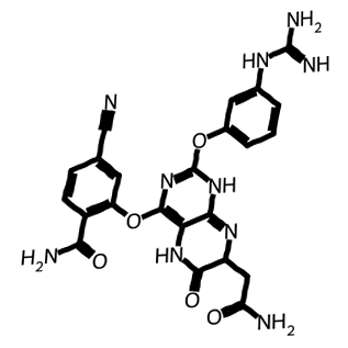 N#Cc1ccc(C(N)=O)c(OC2=C3NC(=O)C(CC(N)=O)N=C3NC(Oc3cccc(NC(=N)N)c3)=N2)c1